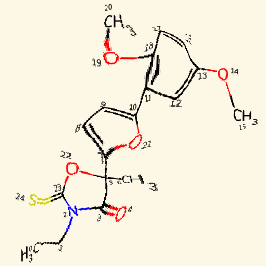 CCN1C(=O)C(C)(c2ccc(-c3cc(OC)ccc3OC)o2)OC1=S